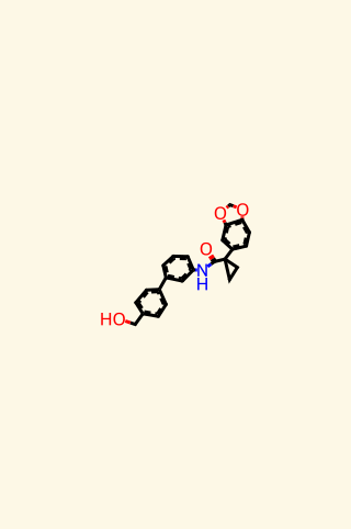 O=C(Nc1cccc(-c2ccc(CO)cc2)c1)C1(c2ccc3c(c2)OCO3)CC1